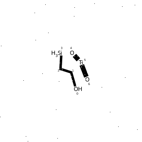 OCC[SiH3].[O]=[Ti]=[O]